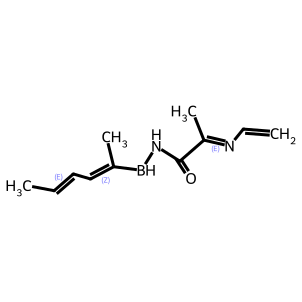 C=C/N=C(\C)C(=O)NB/C(C)=C/C=C/C